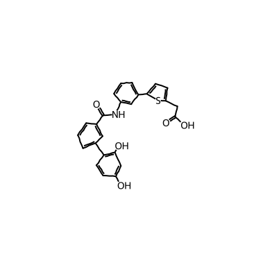 O=C(O)Cc1ccc(-c2cccc(NC(=O)c3cccc(-c4ccc(O)cc4O)c3)c2)s1